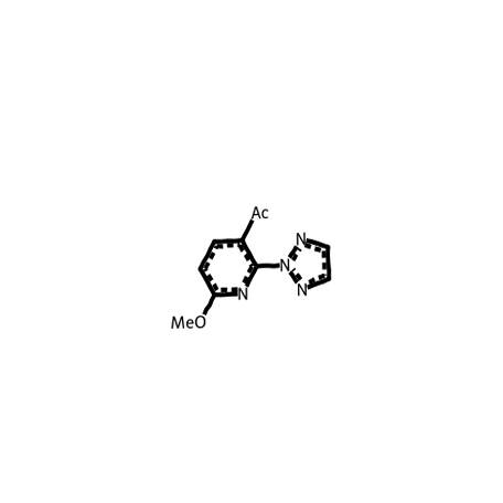 COc1ccc(C(C)=O)c(-n2nccn2)n1